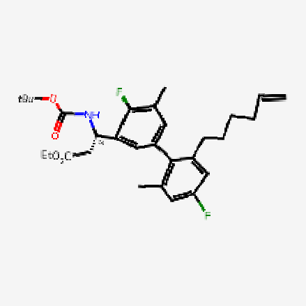 C=CCCCCc1cc(F)cc(C)c1-c1cc(C)c(F)c([C@H](CC(=O)OCC)NC(=O)OC(C)(C)C)c1